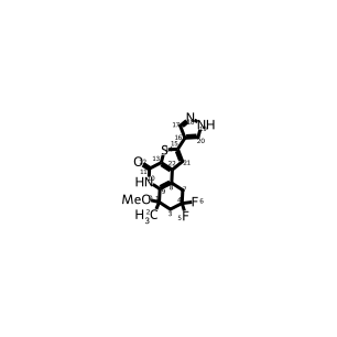 COC1(C)CC(F)(F)Cc2c1[nH]c(=O)c1sc(-c3cn[nH]c3)cc21